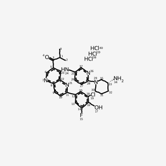 CC(C)C(=O)c1cnc2ccc(-c3cc(F)c(O)c(Cl)c3)nc2c1Nc1ccc(N2CCC[C@@H](N)C2)nc1.Cl.Cl.Cl